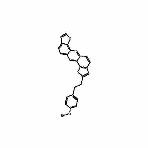 CCOc1ccc(CCc2cc3ccc4cc5c(ccc6ccsc65)cc4c3s2)cc1